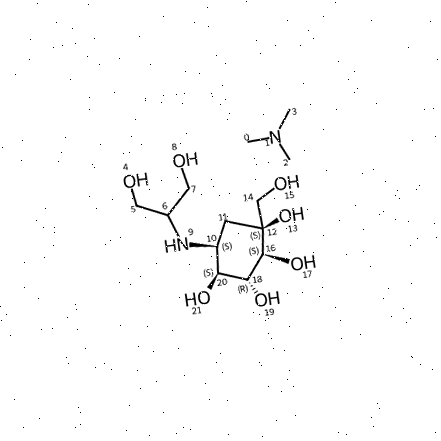 CN(C)C.OCC(CO)N[C@H]1C[C@](O)(CO)[C@@H](O)[C@H](O)[C@H]1O